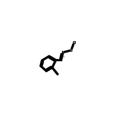 Cc1ccccc1/C=N/OCl